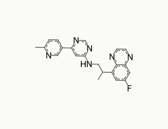 Cc1ccc(-c2cc(NCC(C)c3cc(F)cc4nccnc34)ncn2)cn1